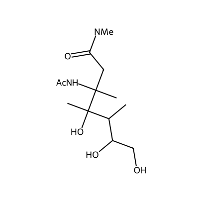 CNC(=O)CC(C)(NC(C)=O)C(C)(O)C(C)C(O)CO